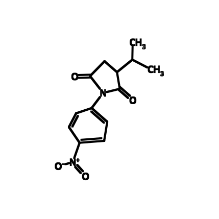 CC(C)C1CC(=O)N(c2ccc([N+](=O)[O-])cc2)C1=O